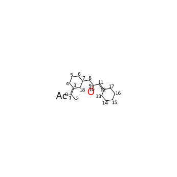 CC(=O)/C(C)=C1\CCCC(CC(=O)C=C2CCCCC2)C1